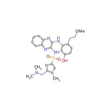 COCCc1ccc(O)cc1Nc1nc2ccccc2nc1NS(=O)(=O)c1cn(C)c(CN(C)C)n1